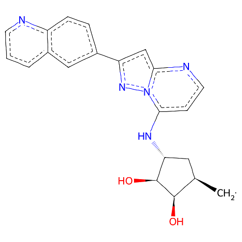 [CH2][C@@H]1C[C@@H](Nc2ccnc3cc(-c4ccc5ncccc5c4)nn23)[C@H](O)[C@@H]1O